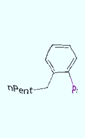 CCCCCCc1ccccc1[P]